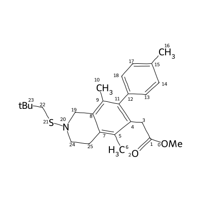 COC(=O)Cc1c(C)c2c(c(C)c1-c1ccc(C)cc1)CN(SCC(C)(C)C)CC2